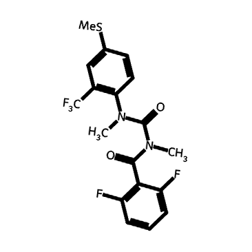 CSc1ccc(N(C)C(=O)N(C)C(=O)c2c(F)cccc2F)c(C(F)(F)F)c1